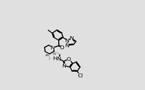 Cc1ccc(-n2nccn2)c(C(=O)N2CCC[C@@H](C)[C@H]2CNc2nc3cc(Cl)ccc3o2)c1